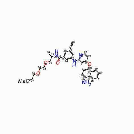 C#Cc1cc(Nc2cc(Oc3ccc(N)c4ccccc34)ccn2)cc(C(=O)NC(C)COCCOCCOC)c1